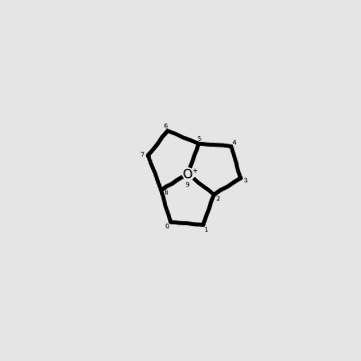 C1CC2CCC3CCC1[O+]23